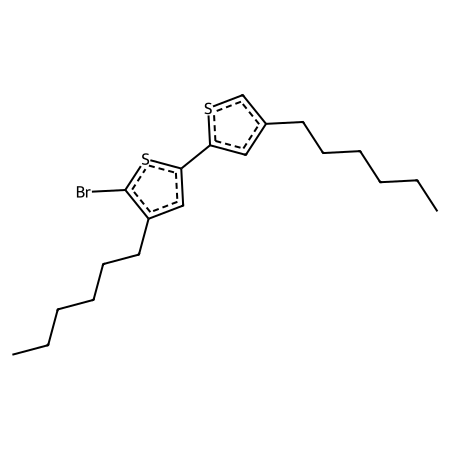 CCCCCCc1csc(-c2cc(CCCCCC)c(Br)s2)c1